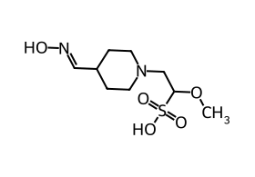 COC(CN1CCC(C=NO)CC1)S(=O)(=O)O